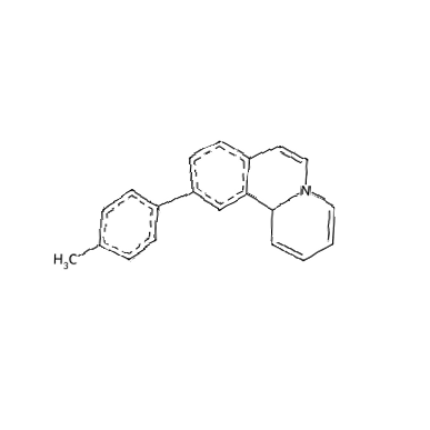 Cc1ccc(-c2ccc3c(c2)C2C=CC=CN2C=C3)cc1